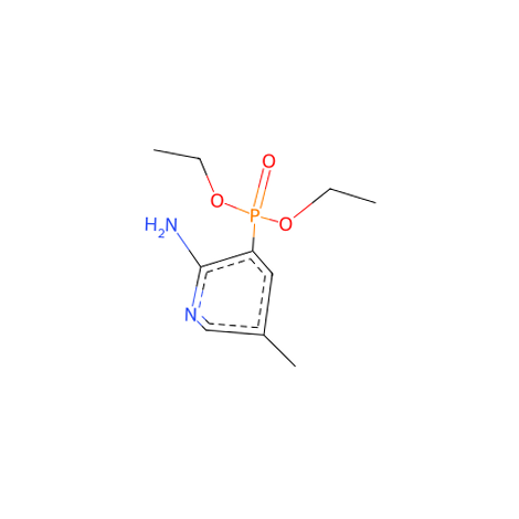 CCOP(=O)(OCC)c1cc(C)cnc1N